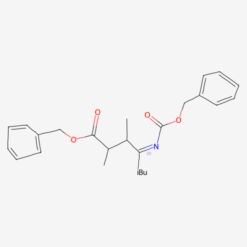 CCC(C)/C(=N/C(=O)OCc1ccccc1)C(C)C(C)C(=O)OCc1ccccc1